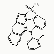 NC(=O)N(c1ccccc1Br)c1ccccc1-c1cc(Oc2ccccc2)ccc1S(N)(=O)=O